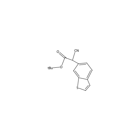 CC(C)(C)OC(=O)C(C#N)c1ccc2ccsc2c1